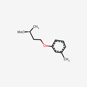 CO[C@@H](C)CCOc1cc[c]c(C)c1